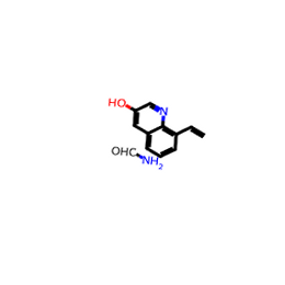 C=Cc1cccc2cc(O)cnc12.NC=O